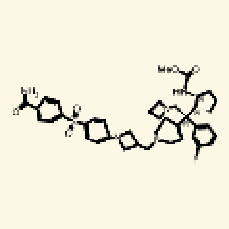 COC(=O)N[C@H]1CCC[C@@H]1[C@](CN1CCC1)(c1cccc(F)c1)C1CCN(CC2CN(c3ccc(S(=O)(=O)c4ccc(C(N)=O)cc4)cc3)C2)CC1